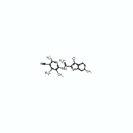 C=C(Nc1nc(C)c(C#N)c(C)c1C)c1sc2cc(C)ccc2c1Cl